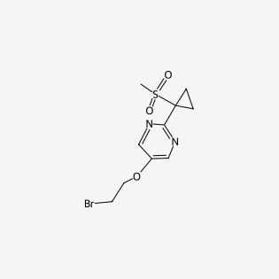 CS(=O)(=O)C1(c2ncc(OCCBr)cn2)CC1